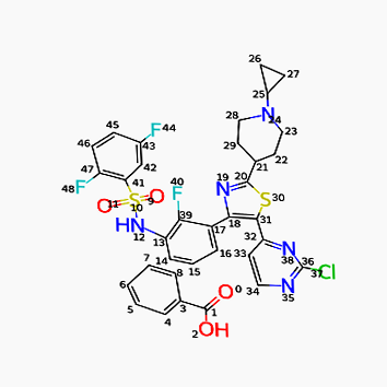 O=C(O)c1ccccc1.O=S(=O)(Nc1cccc(-c2nc(C3CCN(C4CC4)CC3)sc2-c2ccnc(Cl)n2)c1F)c1cc(F)ccc1F